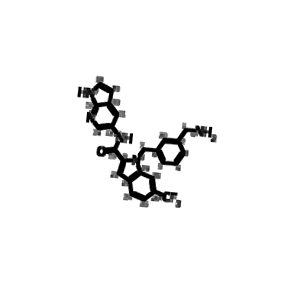 NCc1cccc(Cn2c(C(=O)Nc3cnc4[nH]ccc4c3)cc3ccc(C(F)(F)F)cc32)c1